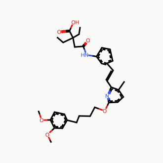 CCC(CC)(CC(=O)Nc1cccc(C=Cc2nc(OCCCCc3ccc(OC)c(OC)c3)ccc2C)c1)C(=O)O